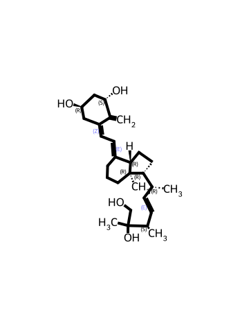 C=C1/C(=C\C=C2/CCC[C@]3(C)[C@@H]([C@H](C)/C=C/[C@H](C)C(C)(O)CO)CC[C@@H]23)C[C@@H](O)C[C@@H]1O